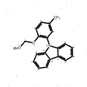 COCOc1ccc(C)cc1-n1c2ccccc2c2ccccc21